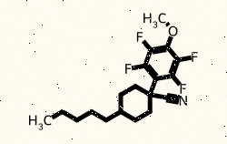 CCCCCC1CCC(C#N)(c2c(F)c(F)c(OC)c(F)c2F)CC1